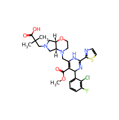 COC(=O)C1=C(CN2CCO[C@H]3CN(CC(C)(C)C(=O)O)C[C@H]32)NC(c2nccs2)=NC1c1cccc(F)c1Cl